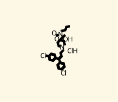 CCCCN1C(=O)OC2(CCN(CCC=C(c3ccc(Cl)cc3)c3ccc(Cl)cc3)CC2)C1(C)O.Cl